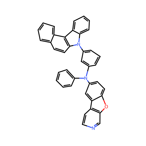 c1ccc(N(c2cccc(-n3c4ccccc4c4c5ccccc5ccc43)c2)c2ccc3oc4cnccc4c3c2)cc1